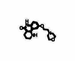 O=c1[nH]c2ccc(OCCN3CCOCC3)cc2c2c1CCCN2